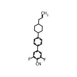 C=CCC1CCC(c2ccc(-c3cc(F)c(C#N)c(F)c3)cc2)CC1